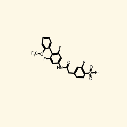 CCS(=O)(=O)c1ccc(CC(=O)Nc2cc(F)c(-c3ccccc3OC(F)(F)F)c(F)c2)cc1F